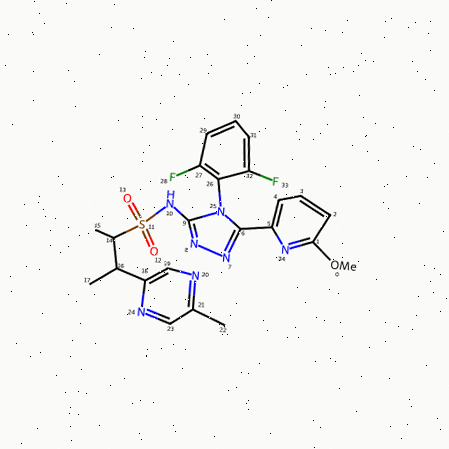 COc1cccc(-c2nnc(NS(=O)(=O)C(C)C(C)c3cnc(C)cn3)n2-c2c(F)cccc2F)n1